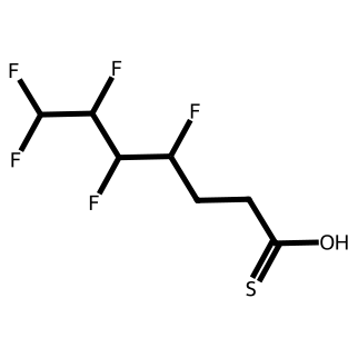 OC(=S)CCC(F)C(F)C(F)C(F)F